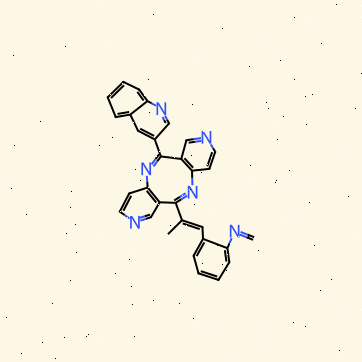 C=Nc1ccccc1/C=C(C)/C1=N/c2ccncc2/C(c2cnc3ccccc3c2)=N\c2ccncc21